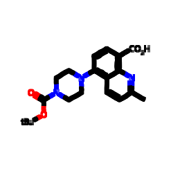 Cc1ccc2c(N3CCN(C(=O)OC(C)(C)C)CC3)ccc(C(=O)O)c2n1